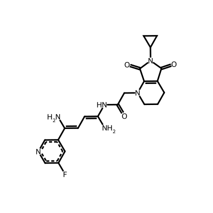 N/C(=C\C=C(/N)NC(=O)CN1CCCC2=C1C(=O)N(C1CC1)C2=O)c1cncc(F)c1